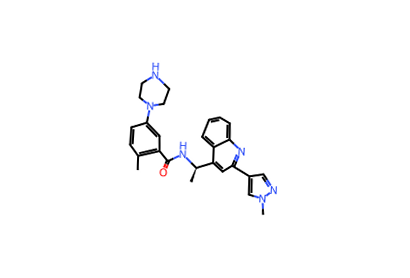 Cc1ccc(N2CCNCC2)cc1C(=O)N[C@H](C)c1cc(-c2cnn(C)c2)nc2ccccc12